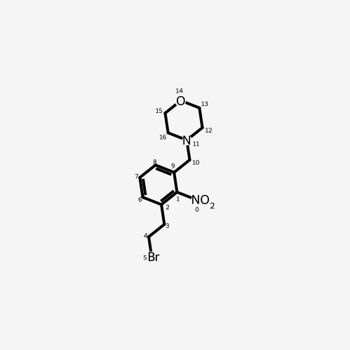 O=[N+]([O-])c1c(CCBr)cccc1CN1CCOCC1